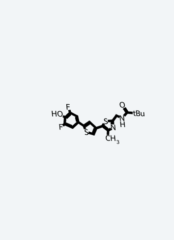 Cc1nc(CNC(=O)C(C)(C)C)sc1-c1csc(-c2cc(F)c(O)c(F)c2)c1